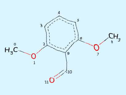 COc1cccc(OC)c1[C]=O